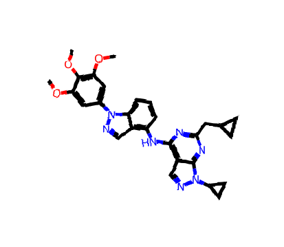 COc1cc(-n2ncc3c(Nc4nc(CC5CC5)nc5c4cnn5C4CC4)cccc32)cc(OC)c1OC